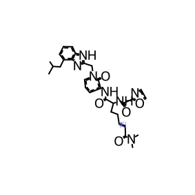 CC(C)Cc1cccc2[nH]c(Cn3cccc(NC(=O)C(CC/C=C/C(=O)N(C)C)NC(=O)c4ncco4)c3=O)nc12